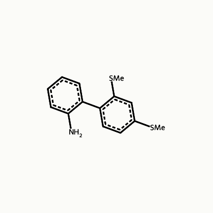 CSc1ccc(-c2ccccc2N)c(SC)c1